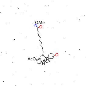 CON(C)C(=O)CCCCCCCCCC[C@H]1C[C@]2(C)[C@@H](OC(C)=O)CC[C@H]2[C@@H]2CCC3=CC(=O)CCC3=C12